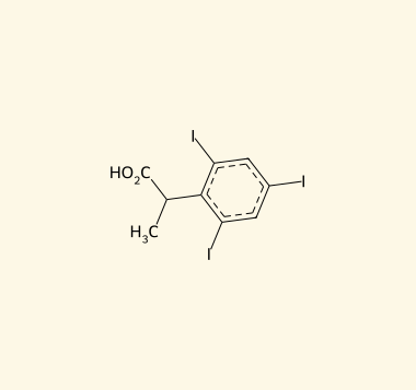 CC(C(=O)O)c1c(I)cc(I)cc1I